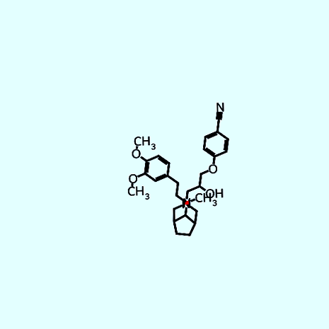 COc1ccc(CCN(C)C2C3CCC2CN(CC(O)COc2ccc(C#N)cc2)C3)cc1OC